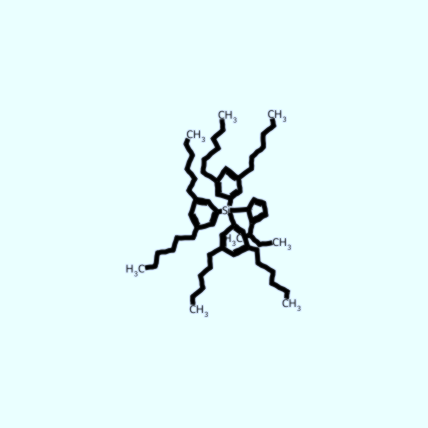 CCCCCCc1cc(CCCCCC)cc([Si]([C]2C=CC=C2C(C)CC)(c2cc(CCCCCC)cc(CCCCCC)c2)c2cc(CCCCCC)cc(CCCCCC)c2)c1